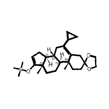 C[C@]12CCC3(CC1=C(C1CC1)C[C@@H]1[C@@H]2CC[C@]2(C)C(O[Si](C)(C)C)=CC[C@@H]12)OCCO3